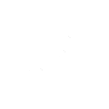 O=c1[nH]c(C2=C[C@H](N3CCN(c4ccccc4)CC3)CC2)cc2sccc12